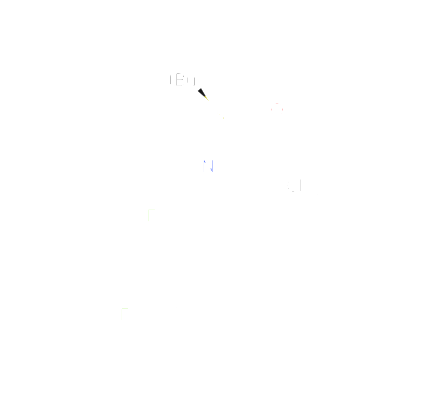 CC(=N[S@+]([O-])C(C)(C)C)c1cccc(F)c1F